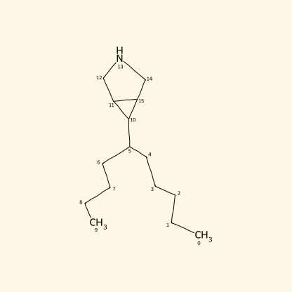 CCCCCC(CCCC)C1C2CNCC21